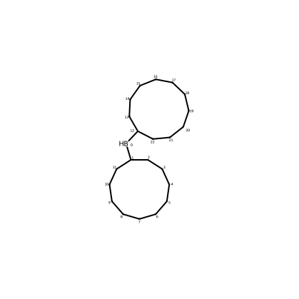 B(C1CCCCCCCCCC1)C1CCCCCCCCCC1